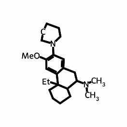 CCC12CCCCC1C(N(C)C)Cc1cc(N3CCCCC3)c(OC)cc12